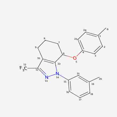 Cc1ccc(OC2CCCc3c(C(F)(F)F)nn(-c4cccc(C)c4)c32)cc1